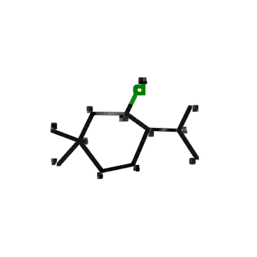 CC(C)C1CCC(C)(C)CC1Cl